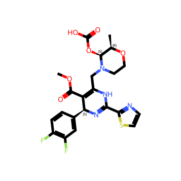 COC(=O)C1=C(CN2CCO[C@H](C)[C@@H]2OC(=O)O)NC(c2nccs2)=N[C@H]1c1ccc(F)c(F)c1